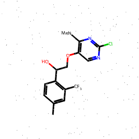 CNc1nc(Cl)ncc1OCC(O)c1ccc(C)cc1C(F)(F)F